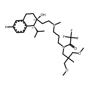 COCC(C)(COC)CN(CCCN(C)CC[C@@]1(O)CCc2cc(F)ccc2[C@@H]1C(C)C)C(=O)C(F)(F)F